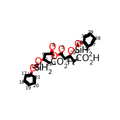 O=C(O)CC(CC(=O)OC(=O)CC(CC(=O)O)O[SiH2]Oc1ccccc1)O[SiH2]Oc1ccccc1